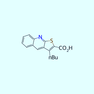 CCCCc1c(C(=O)O)sc2nc3ccccc3cc12